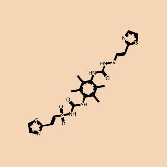 Cc1c(C)c(NC(=O)NS(=O)(=O)/C=C/c2nccs2)c(C)c(C)c1NC(=O)NS/C=C/c1nccs1